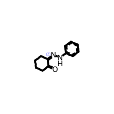 O=C1CCCC/C1=N/Nc1ccccc1